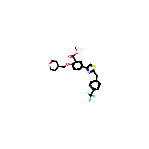 COC(=O)c1cc(-c2csc(Cc3ccc(C(F)(F)F)cc3)n2)ccc1OCC1CCOCC1